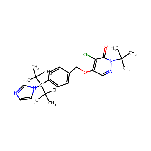 CC(C)(C)n1ncc(OCc2ccc([Si](n3ccnc3)(C(C)(C)C)C(C)(C)C)cc2)c(Cl)c1=O